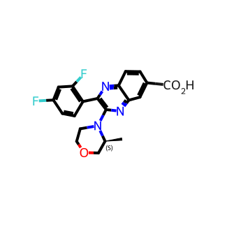 C[C@H]1COCCN1c1nc2cc(C(=O)O)ccc2nc1-c1ccc(F)cc1F